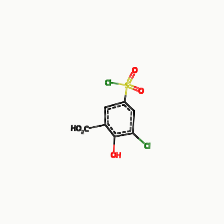 O=C(O)c1cc(S(=O)(=O)Cl)cc(Cl)c1O